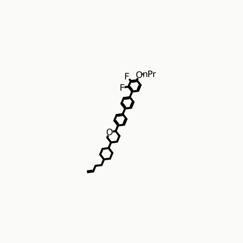 C=CCCC1CCC(C2CCC(c3ccc(-c4ccc(-c5ccc(OCCC)c(F)c5F)cc4)cc3)OC2)CC1